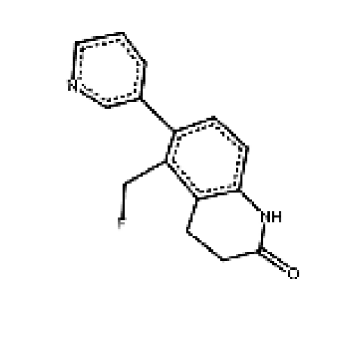 O=C1CCc2c(ccc(-c3cccnc3)c2CF)N1